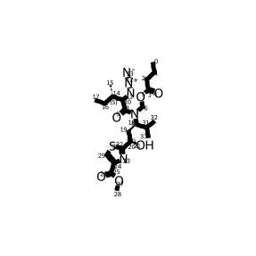 CCCC(=O)OCN(C(=O)C(N=[N+]=[N-])[C@@H](C)CC)[C@H](C[C@@H](O)c1nc(C(=O)OC)cs1)C(C)C